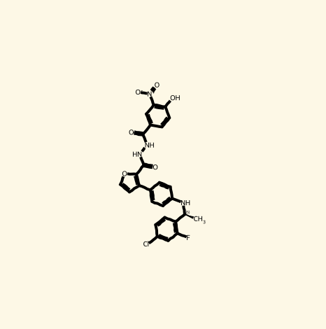 C[C@H](Nc1ccc(-c2ccoc2C(=O)NNC(=O)c2ccc(O)c([N+](=O)[O-])c2)cc1)c1ccc(Cl)cc1F